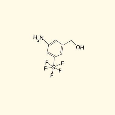 Nc1cc(CO)cc(S(F)(F)(F)(F)F)c1